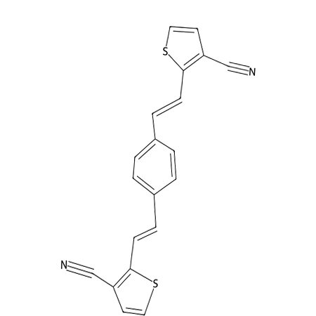 N#Cc1ccsc1/C=C/c1ccc(/C=C/c2sccc2C#N)cc1